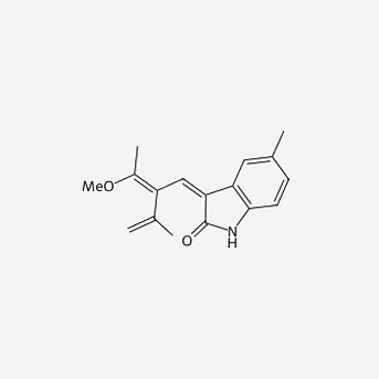 C=C(C)C(/C=C1\C(=O)Nc2ccc(C)cc21)=C(/C)OC